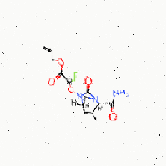 C=CCOC(=O)[C@@H](F)ON1C(=O)N2C[C@@H]1C=C(C)[C@H]2C(N)=O